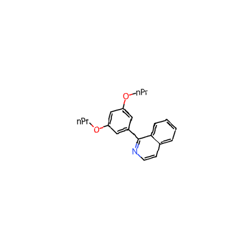 CCCOc1cc(OCCC)cc(-c2nccc3ccccc23)c1